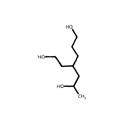 CC(O)CC(CCO)CCCO